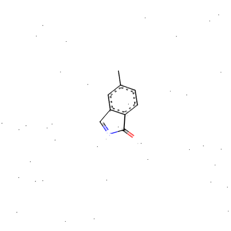 Cc1ccc2c(c1)C=NC2=O